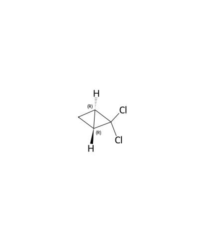 ClC1(Cl)[C@@H]2C[C@H]21